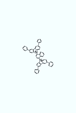 c1ccc(-c2ccc3c(c2)c2cc(-c4ccccc4)ccc2n3-c2ccc(-n3c4ccc(-c5ccccc5)cc4c4cc(-c5ccccc5)ccc43)c3ccccc23)cc1